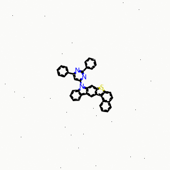 c1ccc(-c2cc(-n3c4ccccc4c4cc5c(cc43)sc3ccc4ccccc4c35)nc(-c3ccccc3)n2)cc1